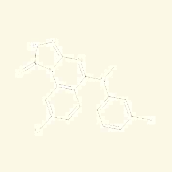 CN(c1cccc(Br)c1)c1nc2n[nH]c(=S)n2c2cc(Cl)ccc12